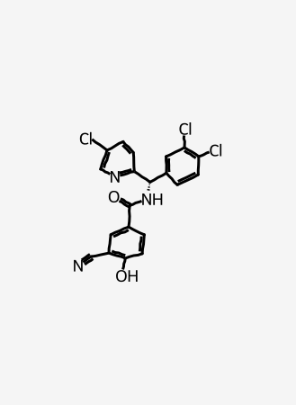 N#Cc1cc(C(=O)N[C@@H](c2ccc(Cl)c(Cl)c2)c2ccc(Cl)cn2)ccc1O